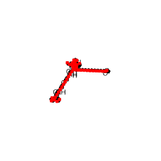 C=Cc1ccc(C(OC(=O)[C@H](CCC(=O)NCCCOCCOCCOCCCNC(=O)OCC2c3ccccc3-c3ccccc32)NC(=O)CCCCCCCCCCCCCCCCCCC(=O)OC(C)(C)C)(c2ccccc2)c2ccccc2Cl)cc1